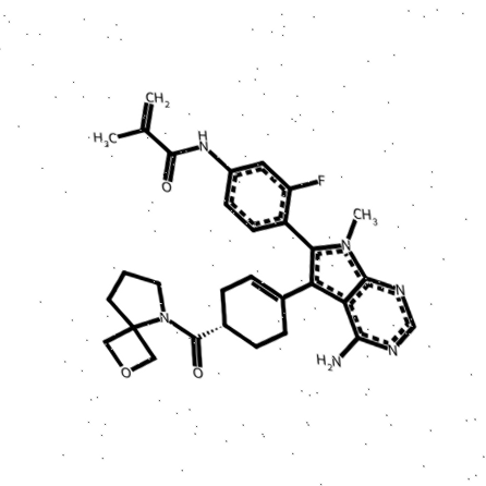 C=C(C)C(=O)Nc1ccc(-c2c(C3=CC[C@@H](C(=O)N4CCCC45COC5)CC3)c3c(N)ncnc3n2C)c(F)c1